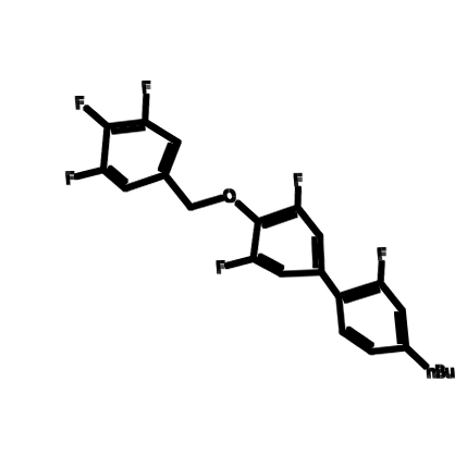 CCCCc1ccc(-c2cc(F)c(OCc3cc(F)c(F)c(F)c3)c(F)c2)c(F)c1